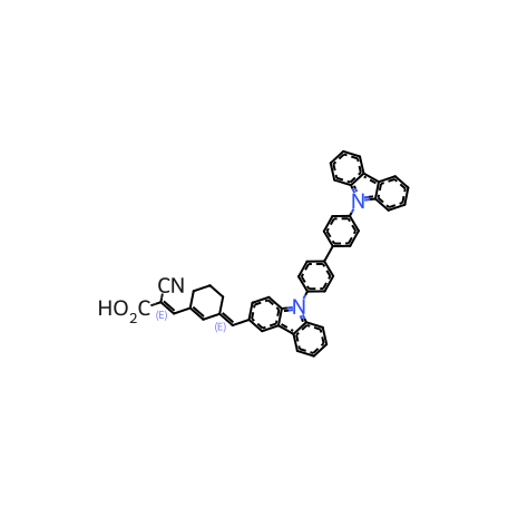 N#C/C(=C\C1=CC(=C/c2ccc3c(c2)c2ccccc2n3-c2ccc(-c3ccc(-n4c5ccccc5c5ccccc54)cc3)cc2)/CCC1)C(=O)O